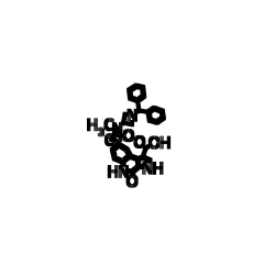 CN(C1CN(C(c2ccccc2)c2ccccc2)C1)S(=O)(=O)c1ccc2[nH]c(=O)c3[nH]cc(C(=O)O)c3c2c1